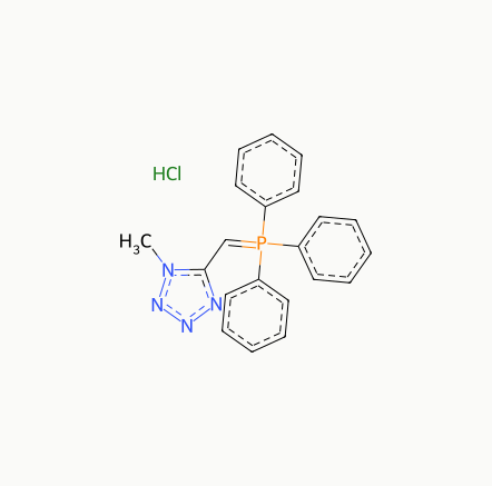 Cl.Cn1nnnc1C=P(c1ccccc1)(c1ccccc1)c1ccccc1